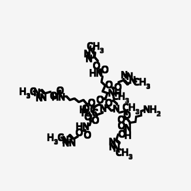 CC(CN(CCN(CC(C)OC(=O)C(CCCCN)NC(=O)OCc1cn(C)nn1)CC(C)OC(=O)C(CCCCNC(=O)OCc1cn(C)nn1)NC(=O)OCc1cn(C)nn1)CC(C)OC(=O)CNC(=O)OCc1cn(C)nn1)OC(=O)CCCCCNC(=O)OCc1cn(C)nn1